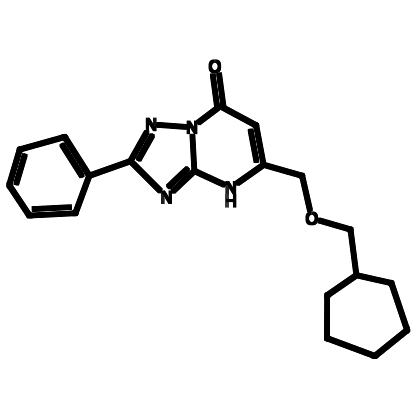 O=c1cc(COCC2CCCCC2)[nH]c2nc(-c3ccccc3)nn12